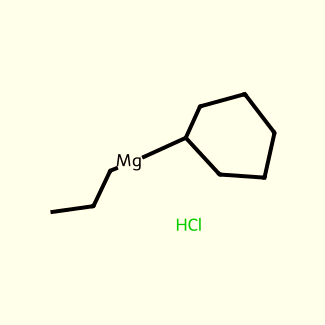 CC[CH2][Mg][CH]1CCCCC1.Cl